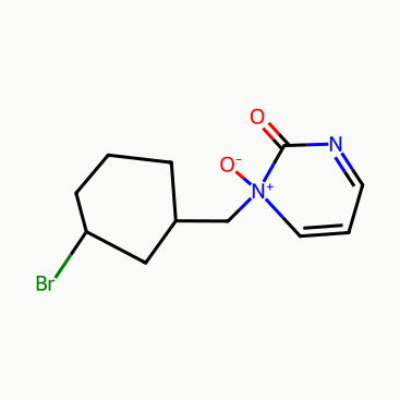 O=C1N=CC=C[N+]1([O-])CC1CCCC(Br)C1